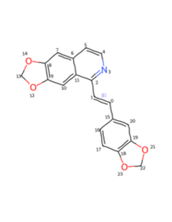 C(=C\c1nccc2cc3c(cc12)OCO3)/c1ccc2c(c1)OCO2